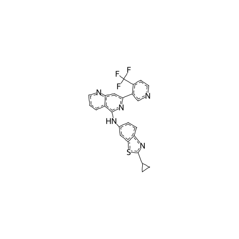 FC(F)(F)c1ccncc1-c1cc2ncccc2c(Nc2ccc3nc(C4CC4)sc3c2)n1